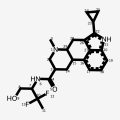 CN1CC(C(=O)NC(CO)C(C)(F)F)CC2c3cccc4[nH]c(C5CC5)c(c34)CC21